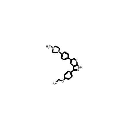 CCOc1ccc(-c2n[nH]c3ncc(-c4ccc(N5CCN(C)CC5)cc4)cc23)cc1